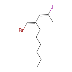 CCCCCCC(/C=C(\C)I)=C\Br